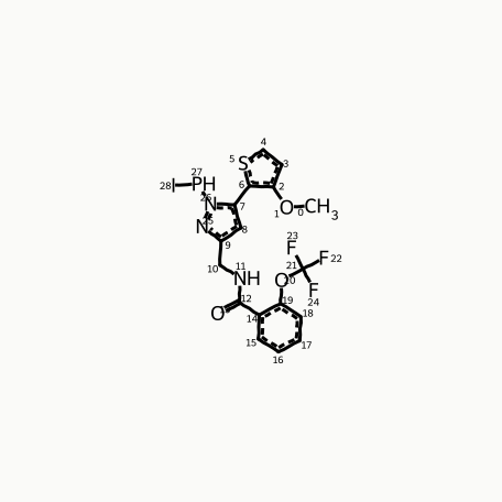 COc1ccsc1-c1cc(CNC(=O)c2ccccc2OC(F)(F)F)nn1PI